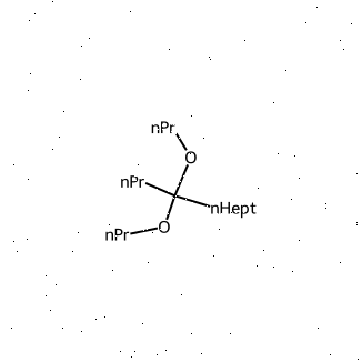 CCCCCCCC(CCC)(OCCC)OCCC